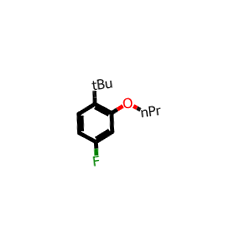 CCCOc1cc(F)ccc1C(C)(C)C